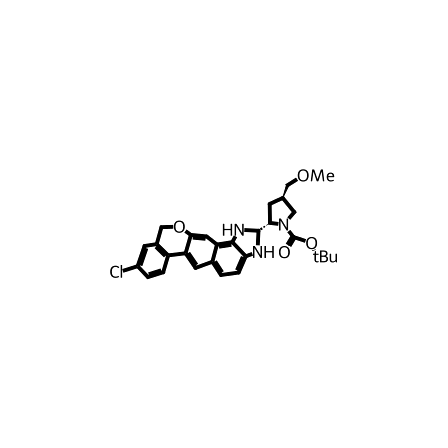 COC[C@@H]1C[C@@H](C2Nc3ccc4cc5c(cc4c3N2)OCc2cc(Cl)ccc2-5)N(C(=O)OC(C)(C)C)C1